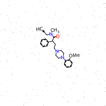 C#CCN(C)C(=O)C(CCN1CCN(c2ccccc2OC)CC1)c1ccccc1